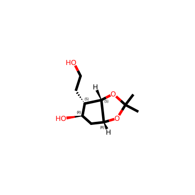 CC1(C)O[C@H]2[C@@H](CCO)[C@H](O)C[C@H]2O1